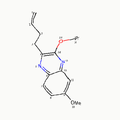 C=CCCc1nc2ccc(OC)cc2nc1OC(C)C